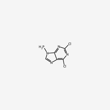 Pn1cnc2c(Cl)nc(Cl)nc21